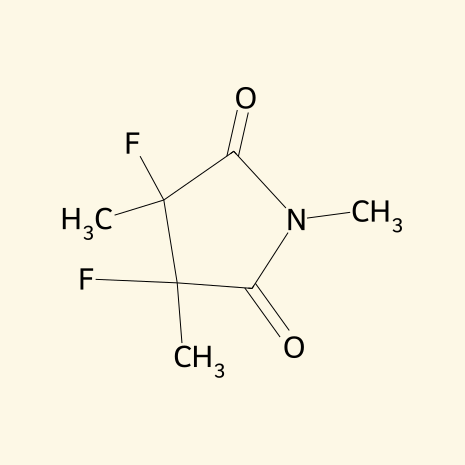 CN1C(=O)C(C)(F)C(C)(F)C1=O